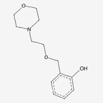 Oc1ccccc1COCCN1CCOCC1